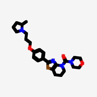 CC1CCCN1CCCOc1ccc(-c2nc3c(s2)CCCN3C(=O)N2CCOCC2)cc1